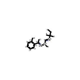 CCC(C)(C)/N=C/N(C)/N=C(\C)c1ccccc1C